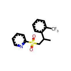 CC(CS(=O)(=O)c1ccccn1)c1ccccc1C(F)(F)F